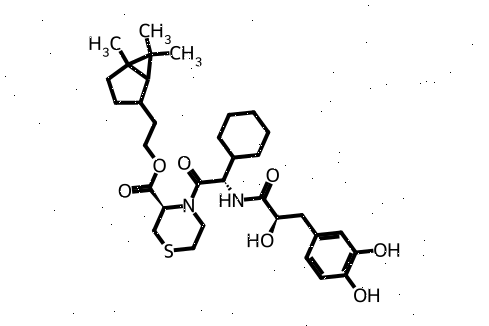 CC1(C)C2C(CCOC(=O)[C@@H]3CSCCN3C(=O)[C@@H](NC(=O)[C@H](O)Cc3ccc(O)c(O)c3)C3CCCCC3)CCC21C